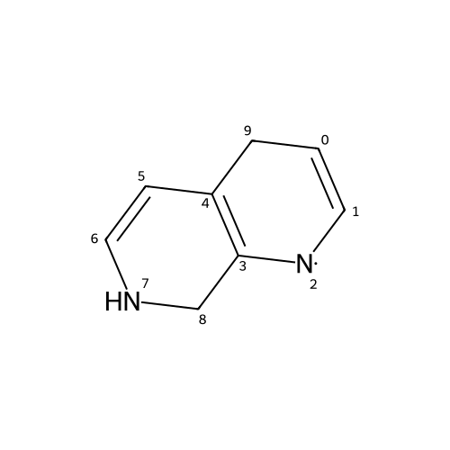 C1=C[N]C2=C(C=CNC2)C1